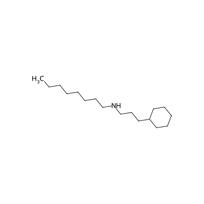 CCCCCCCCNCCCC1CCCCC1